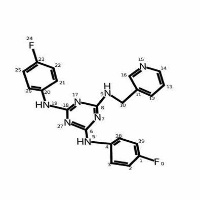 Fc1ccc(Nc2nc(NCc3cccnc3)nc(Nc3ccc(F)cc3)n2)cc1